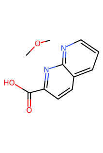 COC.O=C(O)c1ccc2cccnc2n1